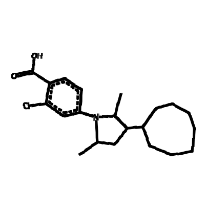 CC1CC(C2CCCCCCC2)C(C)N1c1ccc(C(=O)O)c(Cl)c1